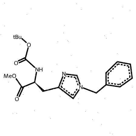 COC(=O)[C@H](Cc1cn(Cc2ccccc2)cn1)NC(=O)OC(C)(C)C